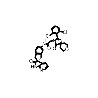 O=C(CN1C(=O)C2(CCOCC2)N=C1c1c(Cl)cccc1Cl)Nc1ccc2c(c1)C[C@@]1(C2)C(=O)Nc2ncccc21